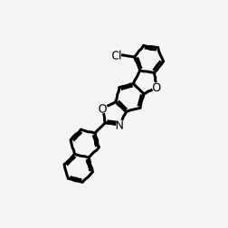 Clc1cccc2oc3cc4nc(-c5ccc6ccccc6c5)oc4cc3c12